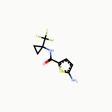 Nc1ccc(C(=O)NC2(C(F)(F)F)CC2)s1